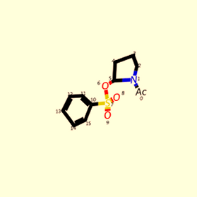 CC(=O)N1CCCC1OS(=O)(=O)c1ccccc1